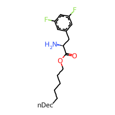 CCCCCCCCCCCCCCCOC(=O)[C@@H](N)Cc1cc(F)cc(F)c1